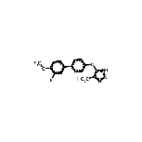 O=C(O)c1nn[nH]c1Oc1ccc(-c2ccc(OC(F)(F)F)c(F)c2)cc1